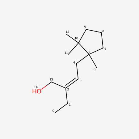 CCC(=CCC1(C)CCCC1(C)C)CO